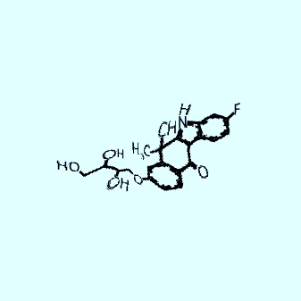 CC1(C)c2cc(OCC(O)C(O)CO)ccc2C(=O)c2c1[nH]c1cc(F)ccc21